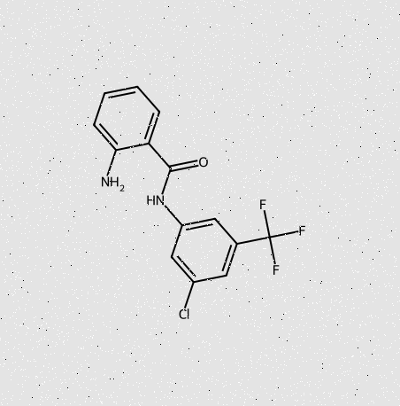 Nc1ccccc1C(=O)Nc1cc(Cl)cc(C(F)(F)F)c1